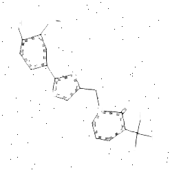 COc1cc(-c2nc(Cn3cccc(C(F)(F)F)c3=O)cs2)ccc1O